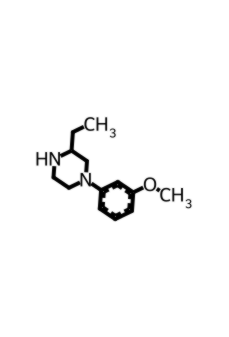 CCC1CN(c2cccc(OC)c2)CCN1